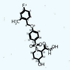 Cc1cc(F)ccc1COc1ccc(S(=O)(=O)N2CCC(O)CC2C(=O)NO)cc1